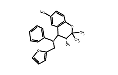 CC1(C)Oc2ccc(C#N)cc2C(N(Cc2ccco2)c2ccccc2)[C@H]1O